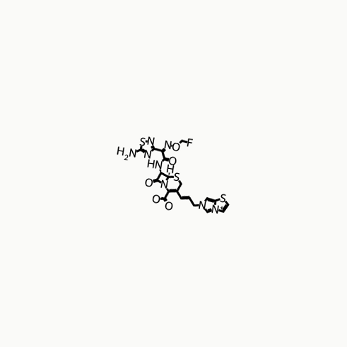 Nc1nc(/C(=N/OCF)C(=O)N[C@@H]2C(=O)N3C(C(=O)[O-])=C(/C=C/Cn4cc5scc[n+]5c4)CS[C@H]23)ns1